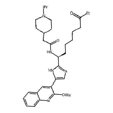 CCC(=O)CCCCC[C@H](NC(=O)CC1CCN(C(C)C)CC1)c1ncc(-c2cc3ccccc3nc2OC)[nH]1